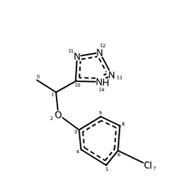 CC(Oc1ccc(Cl)cc1)c1nnn[nH]1